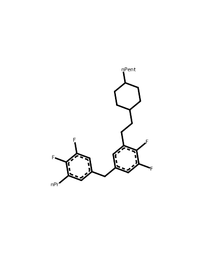 CCCCCC1CCC(CCc2cc(Cc3cc(F)c(F)c(CCC)c3)cc(F)c2F)CC1